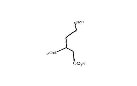 CCCCCCCCCCCC(CCCCCCCC)CC(=O)O